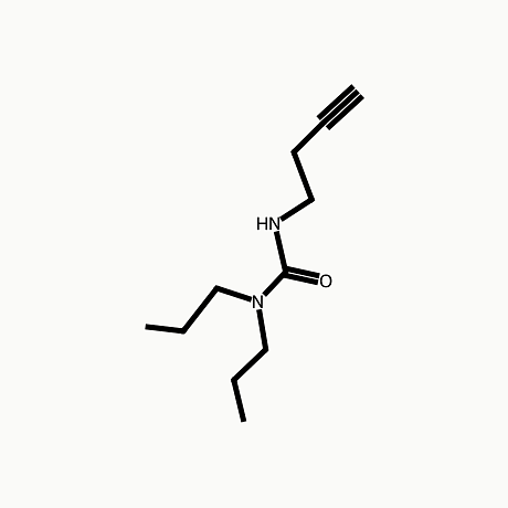 C#CCCNC(=O)N(CCC)CCC